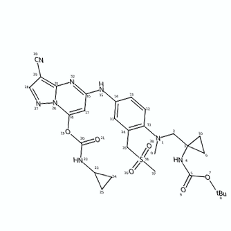 CN(CC1(NC(=O)OC(C)(C)C)CC1)c1ccc(Nc2cc(OC(=O)NC3CC3)n3ncc(C#N)c3n2)cc1CS(C)(=O)=O